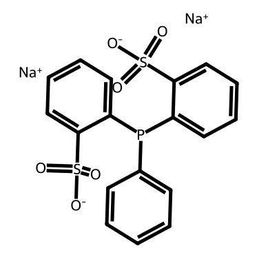 O=S(=O)([O-])c1ccccc1P(c1ccccc1)c1ccccc1S(=O)(=O)[O-].[Na+].[Na+]